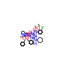 CCOc1c(F)cccc1N(OCC)c1nc(NCC2CCC[N+]2(CC)C(OCc2ccccc2)(OCc2ccccc2)O[PH2]=O)nc(NC2CCCCCC2)n1